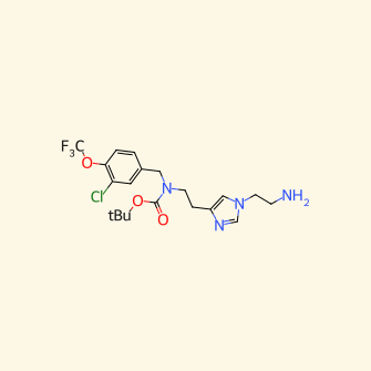 CC(C)(C)OC(=O)N(CCc1cn(CCN)cn1)Cc1ccc(OC(F)(F)F)c(Cl)c1